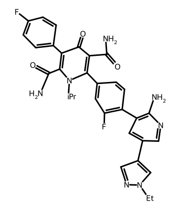 CCn1cc(-c2cnc(N)c(-c3ccc(-c4c(C(N)=O)c(=O)c(-c5ccc(F)cc5)c(C(N)=O)n4C(C)C)cc3F)c2)cn1